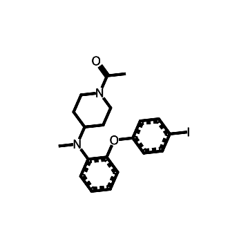 CC(=O)N1CCC(N(C)c2ccccc2Oc2ccc(I)cc2)CC1